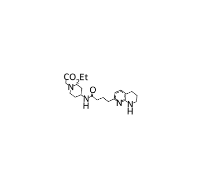 CCOC(=O)CN1CCC(NC(=O)CCCc2ccc3c(n2)NCCC3)CC1